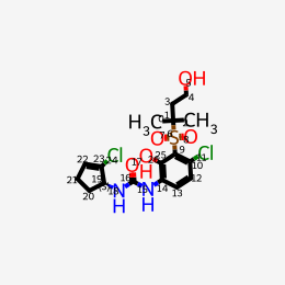 CC(C)(CCO)S(=O)(=O)c1c(Cl)ccc(NC(=O)N[C@H]2CCC=C2Cl)c1O